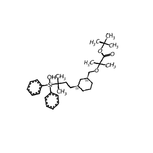 CC(C)(C)OC(=O)C(C)(C)OC[C@H]1CCC[C@@H](CCC(C)(C)[Si](O)(c2ccccc2)c2ccccc2)C1